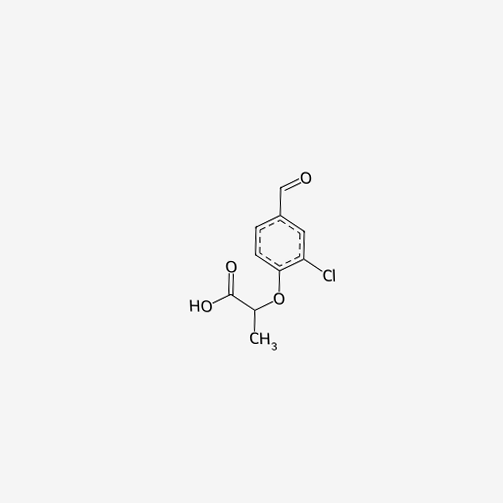 CC(Oc1ccc(C=O)cc1Cl)C(=O)O